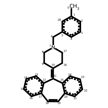 Cc1cccc(CN2CCC(=C3c4ccccc4C=Cc4ccccc43)CC2)c1